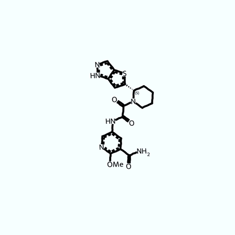 COc1ncc(NC(=O)C(=O)N2CCCC[C@H]2c2cc3[nH]ncc3s2)cc1C(N)=O